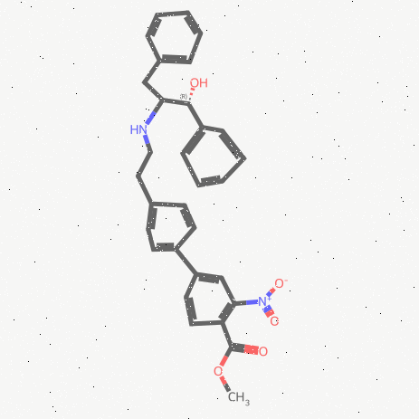 COC(=O)c1ccc(-c2ccc(CCNC(Cc3ccccc3)[C@H](O)c3ccccc3)cc2)cc1[N+](=O)[O-]